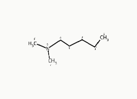 C[CH]CCCN(C)C